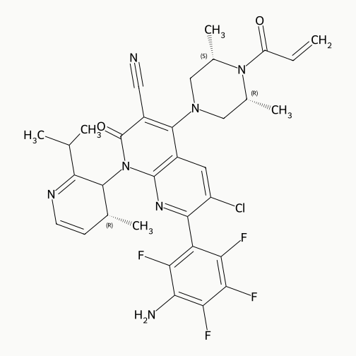 C=CC(=O)N1[C@H](C)CN(c2c(C#N)c(=O)n(C3C(C(C)C)=NC=C[C@H]3C)c3nc(-c4c(F)c(N)c(F)c(F)c4F)c(Cl)cc23)C[C@@H]1C